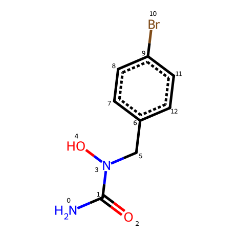 NC(=O)N(O)Cc1ccc(Br)cc1